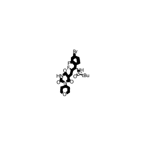 CC(C)(C)[S@@+]([O-])N[C@@H](c1ccc(Br)cc1F)[C@H](F)CC1C(=O)NC(=O)N(C2CCOCC2)C1=O